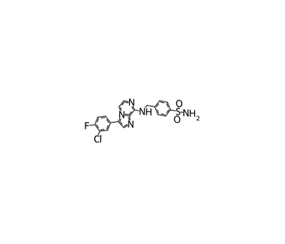 NS(=O)(=O)c1ccc(CNc2nccn3c(-c4ccc(F)c(Cl)c4)cnc23)cc1